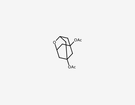 CC(=O)OC12CC3CC(OC(C)=O)(CC(C1)O3)C2